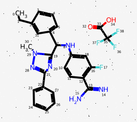 CCc1cccc(C(Nc2ccc(C(=N)N)c(F)c2)c2nc(-c3ccccc3)nn2C)c1.O=C(O)C(F)(F)F